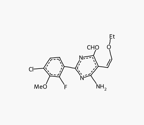 CCO/C=C\c1c(N)nc(-c2ccc(Cl)c(OC)c2F)nc1C=O